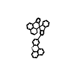 C1=Cc2cccc3c2C(C1)C1(c2ccccc2-c2ccc(-c4ccc5c(c4)-c4cccc6cccc(c46)S5)cc21)c1ccccc1-3